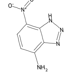 Nc1ccc([N+](=O)[O-])c2[nH]nnc12